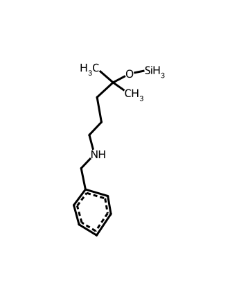 CC(C)(CCCNCc1ccccc1)O[SiH3]